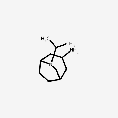 CC(C)N1CC2CCC1CC(N)C2